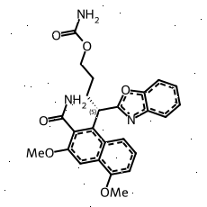 COc1cc2c(OC)cccc2c([C@H](CCCOC(N)=O)c2nc3ccccc3o2)c1C(N)=O